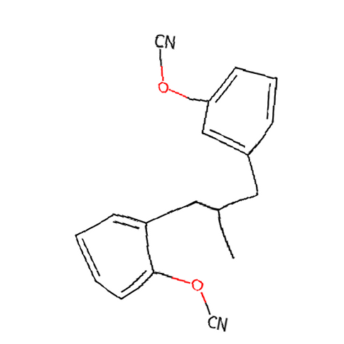 CC(Cc1cccc(OC#N)c1)Cc1ccccc1OC#N